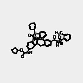 COc1cc(C(=O)NS(=O)(=O)c2ccccc2C)ccc1Cc1cn(C(=O)N(c2ccccc2)c2ccccc2)c2ccc(NC(=O)OC3CCCC3)cc12